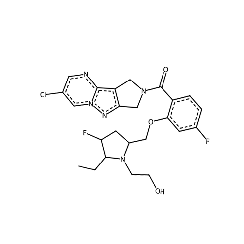 CCC1C(F)CC(COc2cc(F)ccc2C(=O)N2Cc3nn4cc(Cl)cnc4c3C2)N1CCO